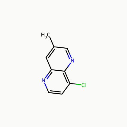 Cc1cnc2c(Cl)ccnc2c1